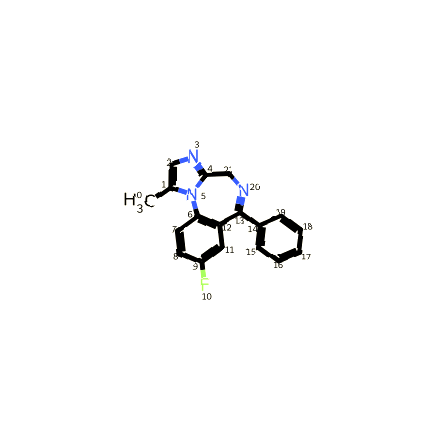 Cc1cnc2n1-c1ccc(F)cc1C(c1ccccc1)=NC2